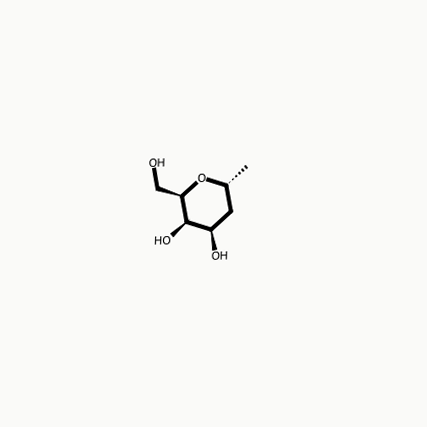 C[C@@H]1C[C@@H](O)[C@@H](O)[C@@H](CO)O1